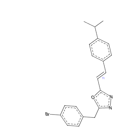 CC(C)c1ccc(/C=C/c2nnc(Cc3ccc(Br)cc3)o2)cc1